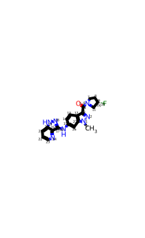 Cn1nc(C(=O)N2CC[C@H](F)C2)c2ccc(Nc3n[nH]c4cccnc34)cc21